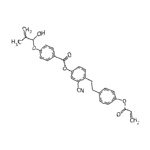 C=CC(=O)Oc1ccc(CCc2ccc(OC(=O)c3ccc(OC(O)C(=C)C)cc3)cc2C#N)cc1